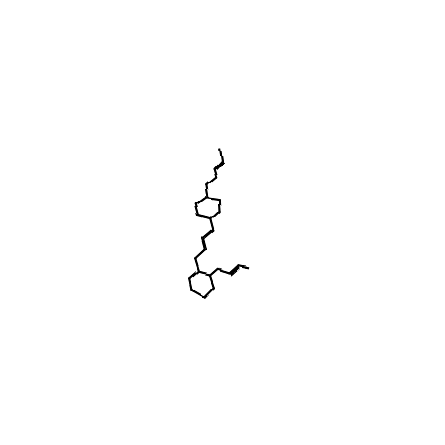 CC=CCC1CCCCC1CCCCC1CCC(CC/C=C/C)CC1